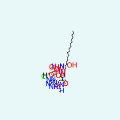 CCC1(c2ccncc2)CCC(=O)NC1=O.CCCCCCCCCCCCCCC[C@H](O)[C@@H](N)CO.Nc1ncnc2c1ncn2[C@@H]1O[C@H](CO)[C@@H](O)[C@H]1O.[Cl-].[H+]